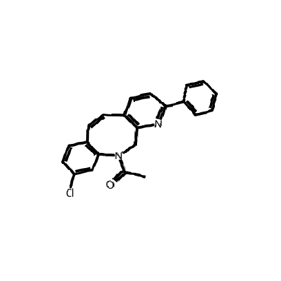 CC(=O)N1Cc2nc(-c3ccccc3)ccc2/C=C\c2ccc(Cl)cc21